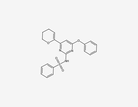 O=S(=O)(Nc1nc(Oc2ccccc2)cc(C2=CCCCO2)n1)c1ccccc1